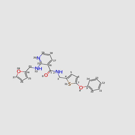 O=C(NCc1ccc(Oc2ccccc2)s1)c1cccnc1NCc1ccco1